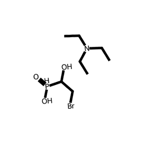 CCN(CC)CC.O=[PH](O)C(O)CBr